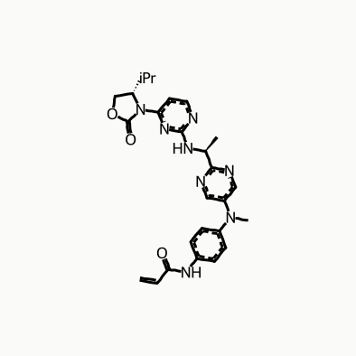 C=CC(=O)Nc1ccc(N(C)c2cnc([C@H](C)Nc3nccc(N4C(=O)OC[C@@H]4C(C)C)n3)nc2)cc1